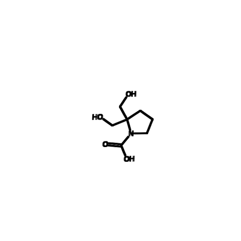 O=C(O)N1CCCC1(CO)CO